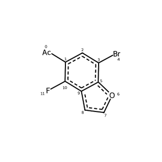 CC(=O)c1cc(Br)c2occc2c1F